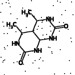 CC1NC(=O)NC2NC(=O)NC(C)C12